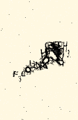 CS(=O)(=O)Nc1ccccc1-c1cc2nc(/C=C/c3ccc(C(F)(F)F)cc3)[nH]c2cc1F